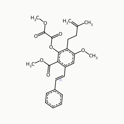 C=C(C)CCc1c(OC)cc(/C=C/c2ccccc2)c(C(=O)OC)c1OC(=O)C(=O)OC